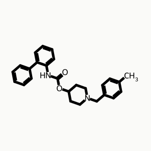 Cc1ccc(CN2CCC(OC(=O)Nc3ccccc3-c3ccccc3)CC2)cc1